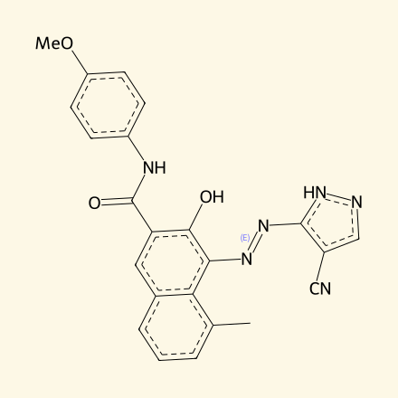 COc1ccc(NC(=O)c2cc3cccc(C)c3c(/N=N/c3[nH]ncc3C#N)c2O)cc1